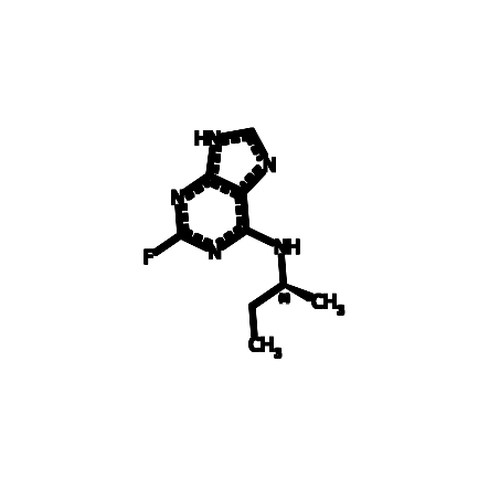 CC[C@H](C)Nc1nc(F)nc2[nH]cnc12